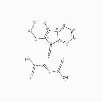 O=C(O)/C=C/C(=O)O.O=C1C2=C(CCCC2)c2ccccc21